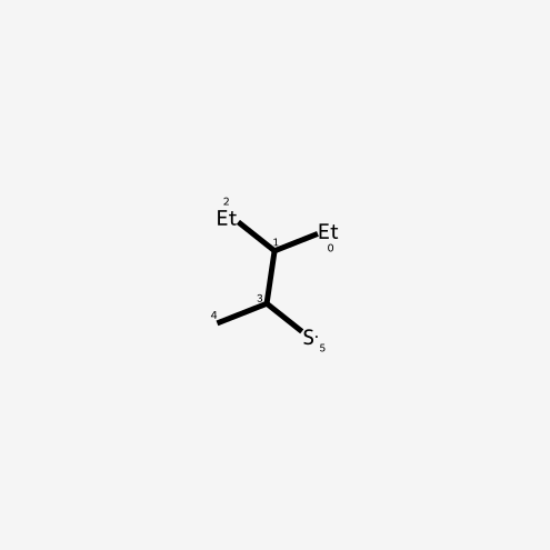 CCC(CC)C(C)[S]